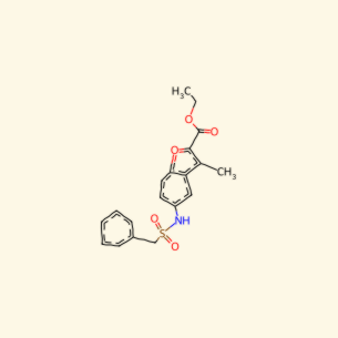 CCOC(=O)c1oc2ccc(NS(=O)(=O)Cc3ccccc3)cc2c1C